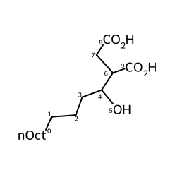 CCCCCCCCCCCC(O)C(CC(=O)O)C(=O)O